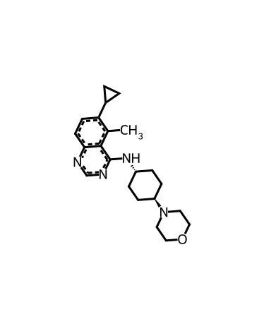 Cc1c(C2CC2)ccc2ncnc(N[C@H]3CC[C@H](N4CCOCC4)CC3)c12